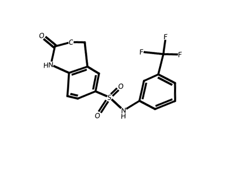 O=C1CCc2cc(S(=O)(=O)Nc3cccc(C(F)(F)F)c3)ccc2N1